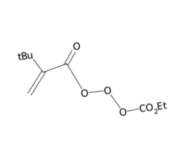 C=C(C(=O)OOOC(=O)OCC)C(C)(C)C